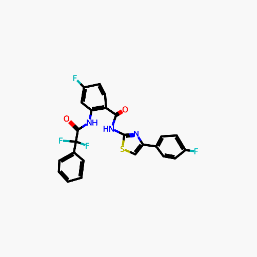 O=C(Nc1nc(-c2ccc(F)cc2)cs1)c1ccc(F)cc1NC(=O)C(F)(F)c1ccccc1